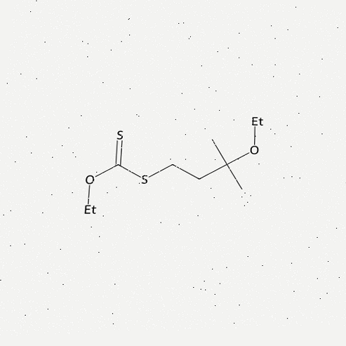 CCOC(=S)SCCC(C)(C)OCC